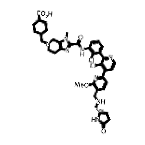 COc1nc(-c2ccnc(-c3cccc(NC(=O)c4nc5c(n4C)CN(CC4CCC(C(=O)O)CC4)CC5)c3Cl)c2Cl)ccc1CNC[C@@H]1CCC(=O)N1